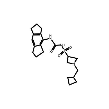 O=C(Nc1c2c(cc3c1CCC3)CCC2)NS(=O)(=O)C1CN(CC2CCC2)C1